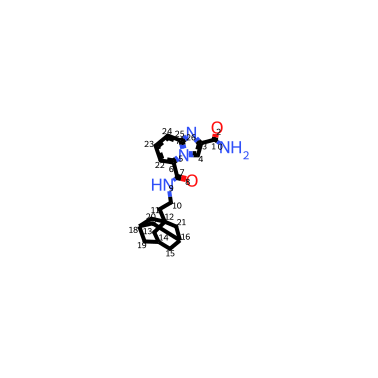 NC(=O)c1cn2c(C(=O)NCCC34CC5CC(CC(C5)C3)C4)cccc2n1